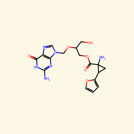 Nc1nc2c(ncn2COC(CO)COC(=O)C2(N)CC2c2ccco2)c(=O)[nH]1